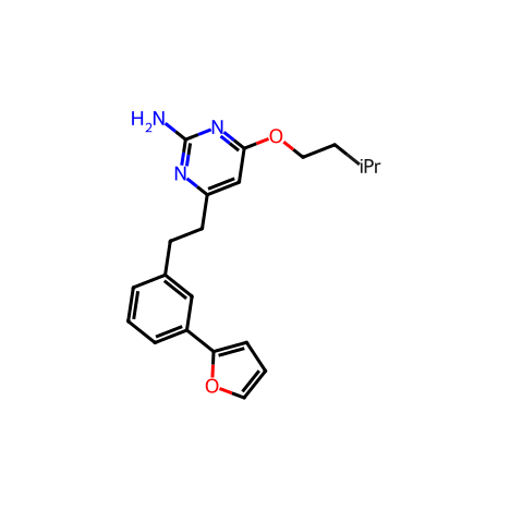 CC(C)CCOc1cc(CCc2cccc(-c3ccco3)c2)nc(N)n1